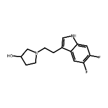 OC1CCN(CCc2c[nH]c3cc(F)c(F)cc23)C1